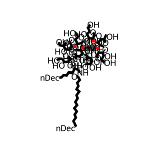 CCCCCCCCCCCCC/C=C/[C@@H](O)[C@H](CO[C@@H]1OC(CO)[C@@H](O[C@@H]2OC(CO)[C@H](O)[C@H](O[C@@H]3OC(CO)[C@@H](O[C@@H]4OC(CO)[C@H](O)[C@H](O[C@@H]5OC(CO)[C@@H](O[C@@H]6OC(CO)[C@H](O)[C@H](O[C@H]7OC(CO)[C@H](O)[C@H](O)C7O)C6O[C@H]6OC(C)[C@@H](O)C(O)[C@@H]6O)[C@H](O)C5NC(C)=O)C4O)[C@H](O)C3NC(C)=O)C2O)[C@H](O)C1O)NC(=O)CCCCCCCCCCCCCCCCCCCCCCCCC